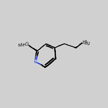 COc1cc(CCC(C)(C)C)ccn1